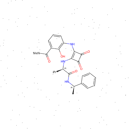 CNC(=O)c1cccc(Nc2c(N[C@@H](C(=O)N[C@H](C)c3ccccc3)C(C)C)c(=O)c2=O)c1O